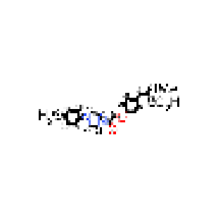 COC(Cc1ccc(OCC(=O)N2CCN(c3ccc(C)cc3)CC2)cc1)C(=O)O